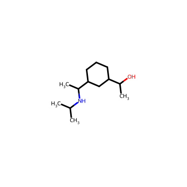 CC(C)NC(C)C1CCCC(C(C)O)C1